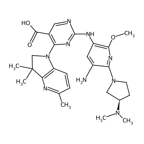 COc1nc(N2CC[C@@H](N(C)C)C2)c(N)cc1Nc1ncc(C(=O)O)c(N2CC(C)(C)c3nc(C)ccc32)n1